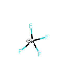 [F][Ba]([F])([F])[F]